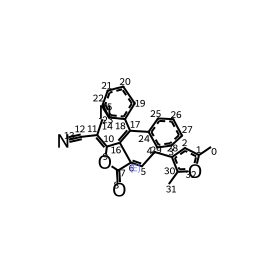 Cc1cc(C/C=C2/C(=O)OC(=C(C#N)C#N)C2=C(c2ccccc2)c2ccccc2)c(C)o1